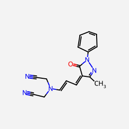 CC1=NN(c2ccccc2)C(=O)/C1=C\C=C\N(CC#N)CC#N